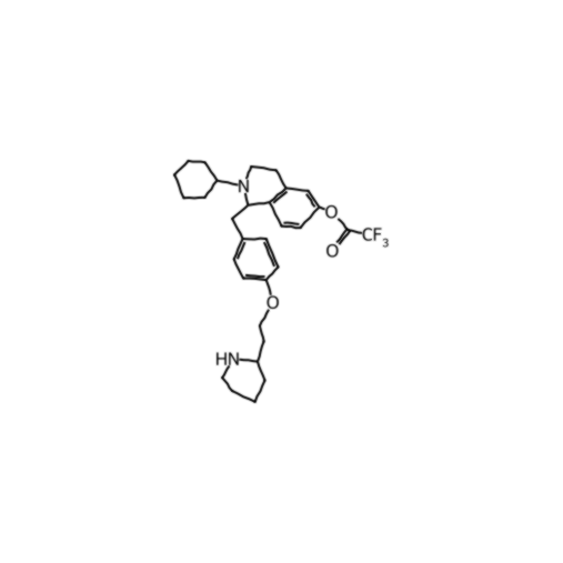 O=C(Oc1ccc2c(c1)CCN(C1CCCCC1)C2Cc1ccc(OCCC2CCCCN2)cc1)C(F)(F)F